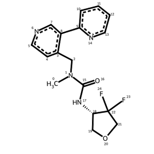 CN(Cc1ccncc1-c1ccccn1)C(=O)N[C@H]1COCC1(F)F